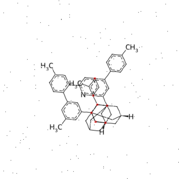 Cc1ccc(-c2cc(C)cc(C34C[C@H]5CC(C[C@@H](C5)C3)C4c3cccc(-c4cc(C)ccc4-c4cc(C)cc(C56CC7CC(CC(C7)C5)C6)c4)n3)c2)cc1